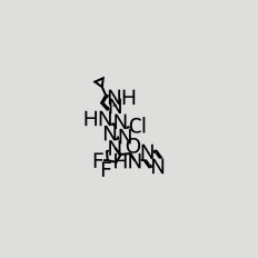 O=C(Nc1cnccn1)C1CC(F)(F)CN1c1nc(Cl)nc(Nc2cc(C3CC3)[nH]n2)n1